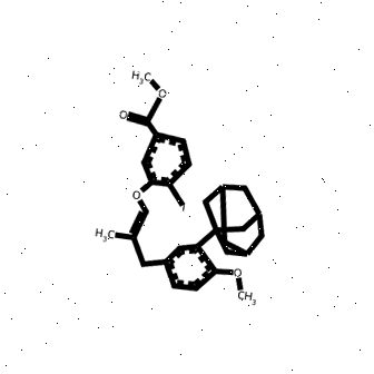 COC(=O)c1ccc(I)c(OC=C(C)Cc2ccc(OC)c(C34CC5CC(CC(C5)C3)C4)c2)c1